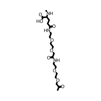 CNC(CCC(=O)NCCOCCOCC(=O)NCCOCCOCC(C)=O)C(=O)O